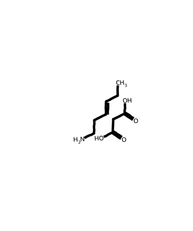 CCC=CCCN.O=C(O)CC(=O)O